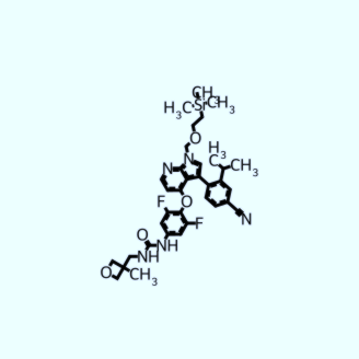 CC(C)c1cc(C#N)ccc1-c1cn(COCC[Si](C)(C)C)c2nccc(Oc3c(F)cc(NC(=O)NCC4(C)COC4)cc3F)c12